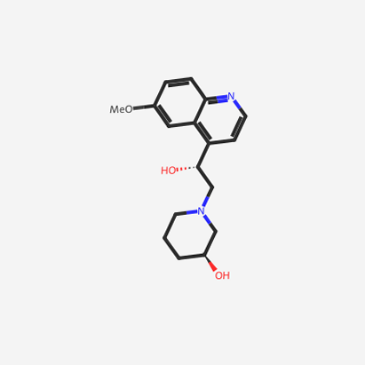 COc1ccc2nccc([C@@H](O)CN3CCC[C@H](O)C3)c2c1